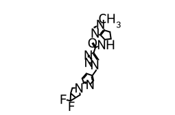 Cn1cnc2c1CC[C@H]2NC(=O)c1cn(Cc2ccc(N3CC4C(C3)C4(F)F)nc2)nn1